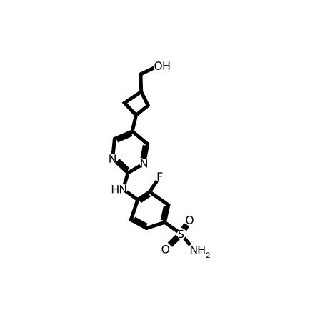 NS(=O)(=O)c1ccc(Nc2ncc(C3CC(CO)C3)cn2)c(F)c1